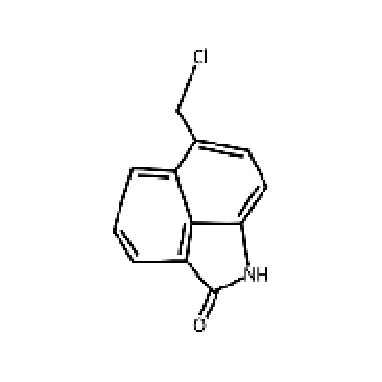 O=C1Nc2ccc(CCl)c3cccc1c23